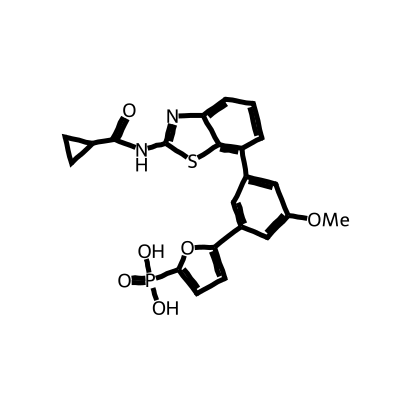 COc1cc(-c2ccc(P(=O)(O)O)o2)cc(-c2cccc3nc(NC(=O)C4CC4)sc23)c1